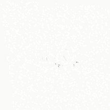 O=S(=O)(Cl)c1cnc(Cl)cc1F